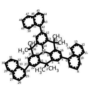 CC1(C)c2cc(-c3cccc4ccccc34)cc3c2N2c4c1cc(-c1cccc5ccccc15)cc4C(C)(C)c1cc(-c4cccc5ccccc45)cc(c12)C3(C)C